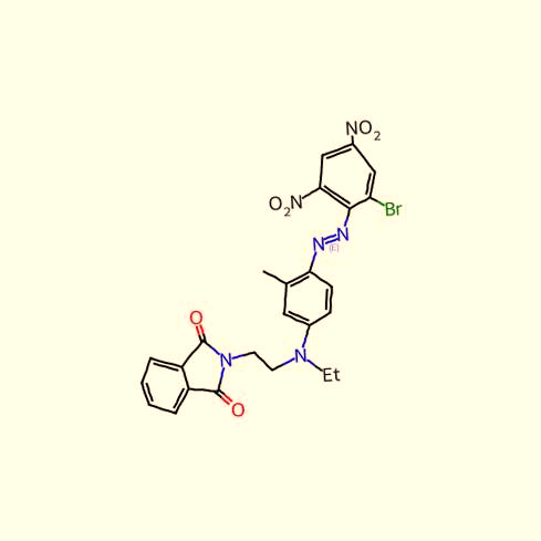 CCN(CCN1C(=O)c2ccccc2C1=O)c1ccc(/N=N/c2c(Br)cc([N+](=O)[O-])cc2[N+](=O)[O-])c(C)c1